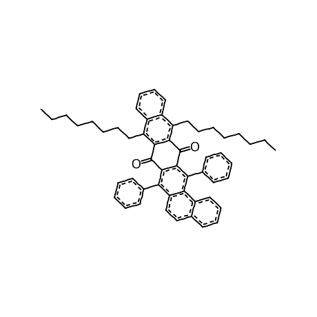 CCCCCCCCc1c2c(c(CCCCCCCC)c3ccccc13)C(=O)c1c(c(-c3ccccc3)c3ccc4ccccc4c3c1-c1ccccc1)C2=O